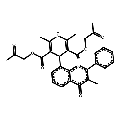 CC(=O)COC(=O)C1=C(C)NC(C)=C(C(=O)OCC(C)=O)C1c1cccc2c(=O)c(C)c(-c3ccccc3)oc12